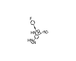 O=C(C#Cc1ccc(F)cc1)Nc1cc(-c2ncc[nH]2)ccc1OCCN1CCC1